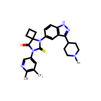 CC(=O)N1CCC(c2n[nH]c3ccc(N4C(=S)N(c5cnc(C#N)c(C(F)(F)F)c5)C(=O)C45CCC5)cc23)CC1